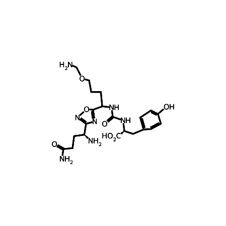 NCOCCCC(NC(=O)N[C@@H](Cc1ccc(O)cc1)C(=O)O)c1nc([C@@H](N)CCC(N)=O)no1